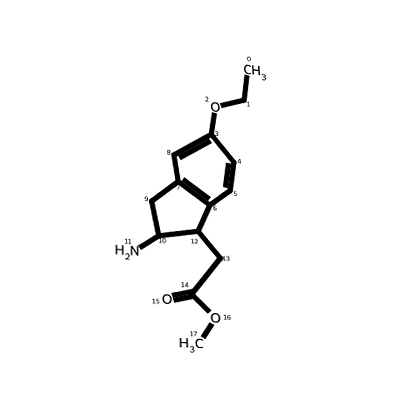 CCOc1ccc2c(c1)CC(N)C2CC(=O)OC